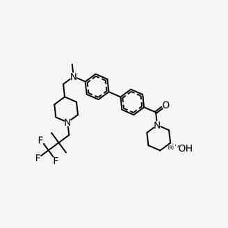 CN(CC1CCN(CC(C)(C)C(F)(F)F)CC1)c1ccc(-c2ccc(C(=O)N3CCC[C@@H](O)C3)cc2)cc1